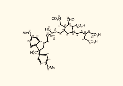 COc1ccc(C(C)(CCCOP(=O)(O)OCC(CN(CCN(CC(=O)O)CC(=O)O)CC(=O)O)N(CC=O)CC(=O)O)c2ccc(OC)cc2)cc1